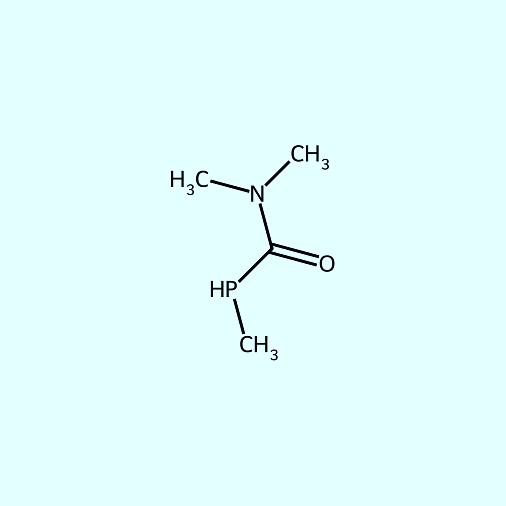 CPC(=O)N(C)C